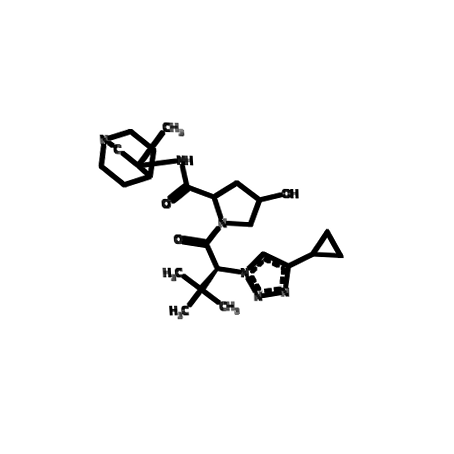 CC1(NC(=O)C2CC(O)CN2C(=O)[C@@H](n2cc(C3CC3)nn2)C(C)(C)C)CN2CCC1CC2